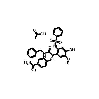 CC(=O)O.COc1cc(C(Nc2ccc(C(=N)N)cc2)C(=O)NCc2ccccc2)c(NS(=O)(=O)c2ccccc2)cc1O